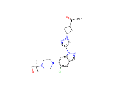 COC(=O)[C@H]1C[C@H](n2cc(-n3ncc4cc(Cl)c(N5CCN(C6(C)COC6)CC5)cc43)cn2)C1